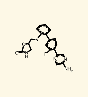 Nc1cnc(-c2ccc(-c3ccccc3SCC3CNC(=O)O3)cc2F)cn1